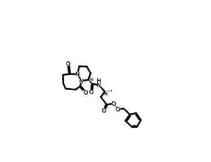 C[C@H](CC(=O)OOCc1ccccc1)NC(=O)[C@@H]1CCCN2C(=O)CCCCC(=O)N12